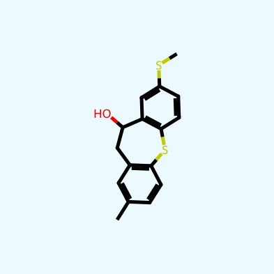 CSc1ccc2c(c1)C(O)Cc1cc(C)ccc1S2